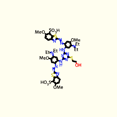 CCN(CC)c1cc(Nc2nc(Nc3cc(N(CC)CC)c(OC)cc3/N=N/c3nc4ccc(OC)c(S(=O)(=O)O)c4s3)nc(SCCO)n2)c(/N=N/c2nc3ccc(OC)c(S(=O)(=O)O)c3s2)cc1OC